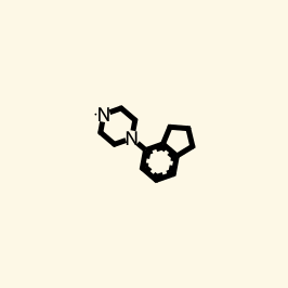 c1cc2c(c(N3CC[N]CC3)c1)CCC2